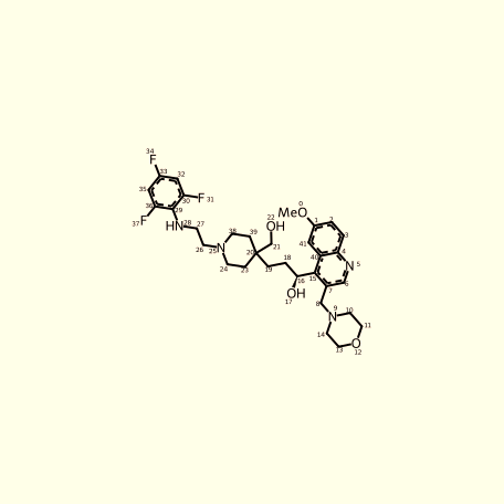 COc1ccc2ncc(CN3CCOCC3)c([C@@H](O)CCC3(CO)CCN(CCNc4c(F)cc(F)cc4F)CC3)c2c1